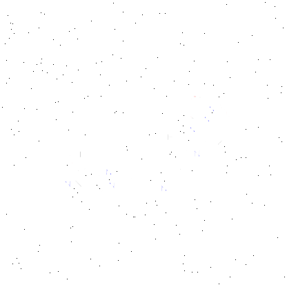 COc1cc2nn(C3CCC(CN4CCC5(CC4)CCN(c4cccc6c4n(C)c(=O)n6N4C(=O)CCCC4=O)CC5)CC3)cc2cc1N